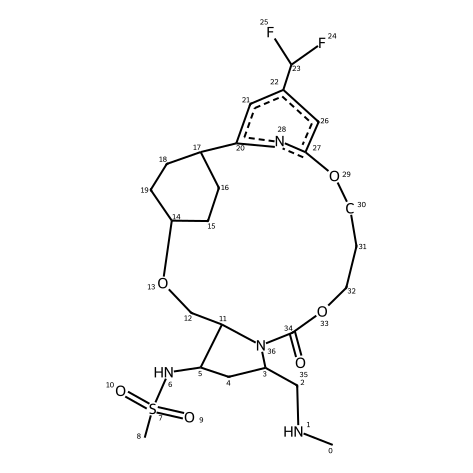 CNCC1CC(NS(C)(=O)=O)C2COC3CCC(CC3)c3cc(C(F)F)cc(n3)OCCCOC(=O)N12